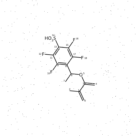 C=C(C)C(=C)OC(C)c1c(F)c(F)c(S(=O)(=O)O)c(F)c1F